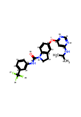 CC(C)Nc1cc(Oc2ccc3c(c2)CCN3C(=O)Nc2cccc(C(F)(F)F)c2)ncn1